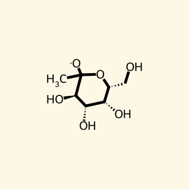 CC1([O])O[C@H](CO)[C@H](O)[C@H](O)[C@H]1O